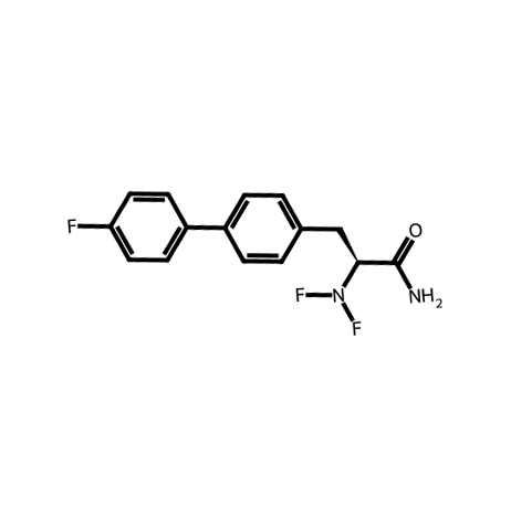 NC(=O)[C@H](Cc1ccc(-c2ccc(F)cc2)cc1)N(F)F